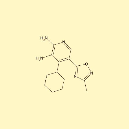 Cc1noc(-c2cnc(N)c(N)c2C2CCCCC2)n1